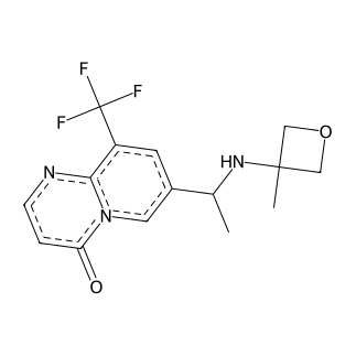 CC(NC1(C)COC1)c1cc(C(F)(F)F)c2nccc(=O)n2c1